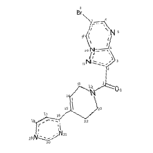 O=C(c1cc2ncc(Br)cn2n1)N1CC=C(c2ccncn2)CC1